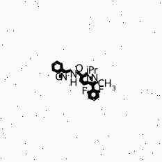 Cc1nn2c(C(C)C)c(C(=O)NCc3noc4c3CCCC4)ccc2c1-c1c(F)cccc1F